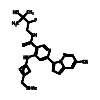 CC(=O)NCC12CC(Nc3cc(-c4ccc5cc(C#N)cnn45)ncc3C(=O)NCC(F)C(C)(C)O)(C1)C2